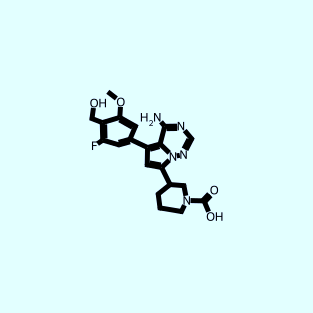 COc1cc(-c2cc(C3CCCN(C(=O)O)C3)n3ncnc(N)c23)cc(F)c1CO